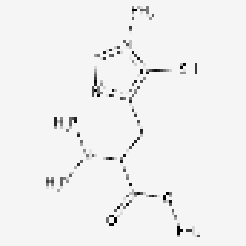 O=C(OP)C(Cc1ncn(P)c1S)N(P)P